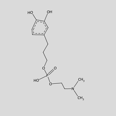 CN(C)CCOP(=O)(O)OCCCc1ccc(O)c(O)c1